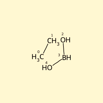 CC.OBO